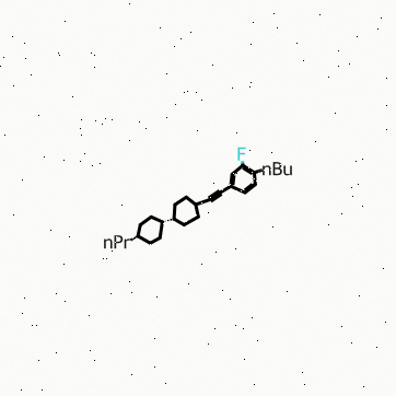 CCCCc1ccc(C#CC2CCC([C@H]3CC[C@H](CCC)CC3)CC2)cc1F